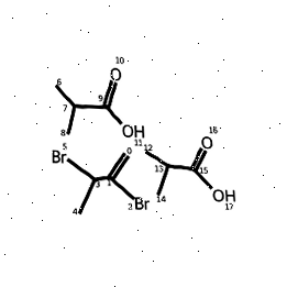 C=C(Br)C(C)Br.CC(C)C(=O)O.CC(C)C(=O)O